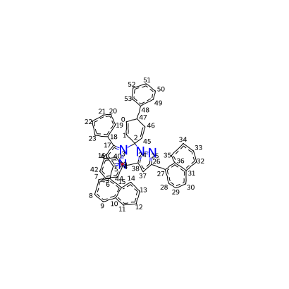 C1=CC(n2nc(-c3cccc4ccccc34)cc2-c2ccccc2)(n2nc(-c3cccc4ccccc34)cc2-c2ccccc2)C=CC1c1ccccc1